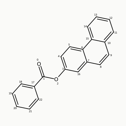 O=C(Oc1ccc2c(ccc3ccccc32)c1)c1ccccc1